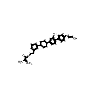 C=C(C)C(=O)OCCc1cccc(C2CCC(c3ccc(-c4ccc(OCCO)cc4)c(C)c3)CC2)c1